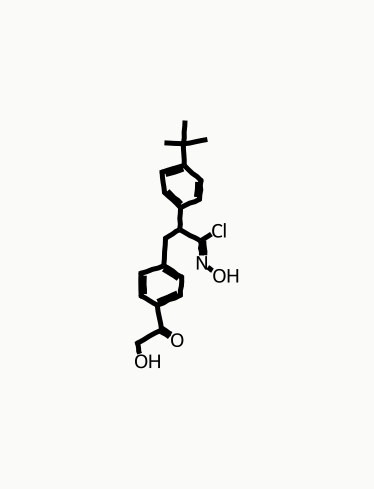 CC(C)(C)c1ccc(C(Cc2ccc(C(=O)CO)cc2)/C(Cl)=N/O)cc1